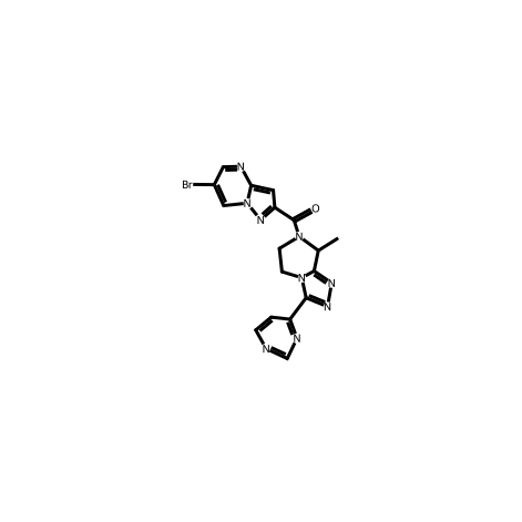 CC1c2nnc(-c3ccncn3)n2CCN1C(=O)c1cc2ncc(Br)cn2n1